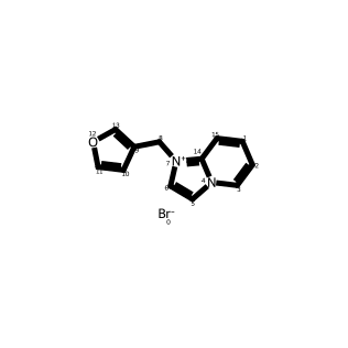 [Br-].c1ccn2cc[n+](Cc3ccoc3)c2c1